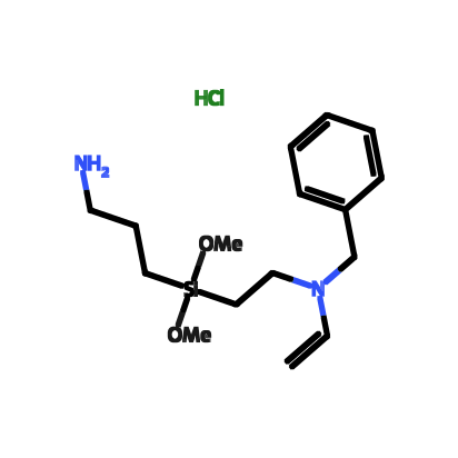 C=CN(CC[Si](CCCN)(OC)OC)Cc1ccccc1.Cl